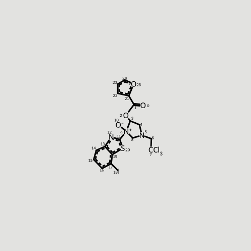 O=C(OC1CN(CC(Cl)(Cl)Cl)C[N+]1([O-])c1nc2cccc(I)c2s1)c1ccco1